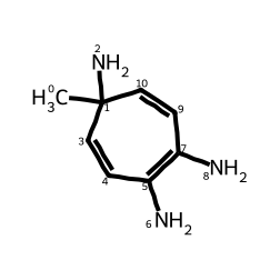 CC1(N)C=CC(N)=C(N)C=C1